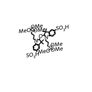 CO[Si](CCCN1c2ccc(S(=O)(=O)O)cc2C(C)(C)C1OC1=[N+](CCC[Si](OC)(OC)OC)c2ccc(S(=O)(=O)O)cc2C1(C)C)(OC)OC